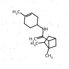 C=C(NC1CC=C(C)CC1)C1C2CC(C)C1(C)C2